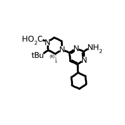 C[C@@H]1C(C(C)(C)C)N(C(=O)O)CCN1c1cc(C2CCCCC2)nc(N)n1